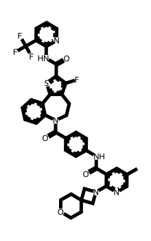 Cc1cnc(N2CC3(CCOCC3)C2)c(C(=O)Nc2ccc(C(=O)N3CCc4c(sc(C(=O)Nc5ncccc5C(F)(F)F)c4F)-c4ccccc43)cc2)c1